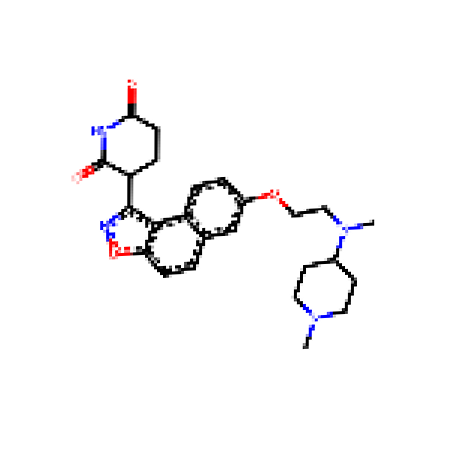 CN1CCC(N(C)CCOc2ccc3c(ccc4onc(C5CCC(=O)NC5=O)c43)c2)CC1